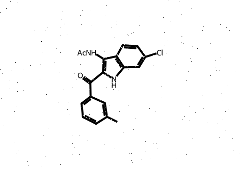 CC(=O)Nc1c(C(=O)c2cccc(C)c2)[nH]c2cc(Cl)ccc12